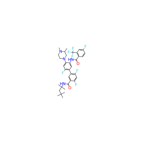 CC1CN(c2cc(F)c(-c3cc(C(=O)NC(C)(C)CC(C)(C)C)c(F)cc3F)cc2NC(=O)c2ccc(F)cc2C(F)(F)F)CCN1C